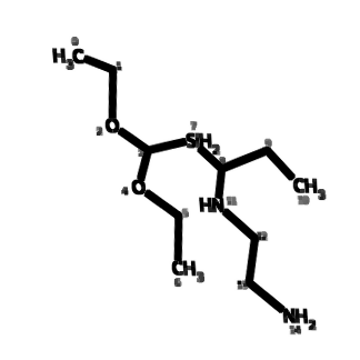 CCOC(OCC)[SiH2]C(CC)NCCN